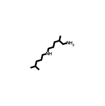 CC(C)CCCNCCCC(C)CN